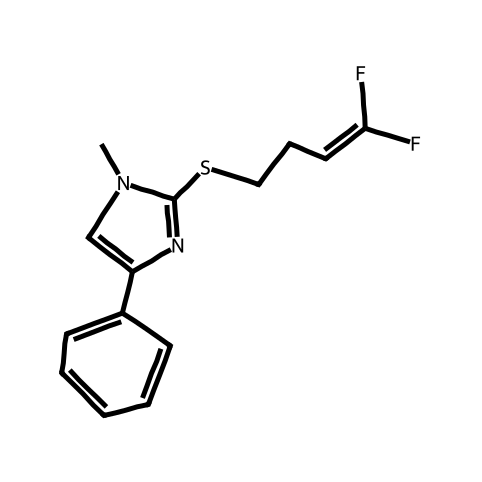 Cn1cc(-c2ccccc2)nc1SCCC=C(F)F